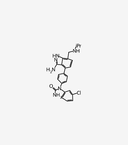 CC(C)NCc1ccc(-c2ccc(N(C(N)=O)c3cccc(Cl)c3)cc2)c2c(N)n[nH]c12